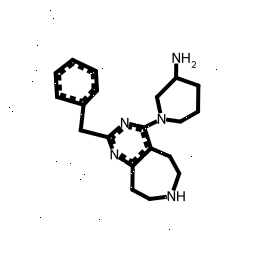 NC1CCCN(c2nc(Cc3ccccc3)nc3c2CCNCC3)C1